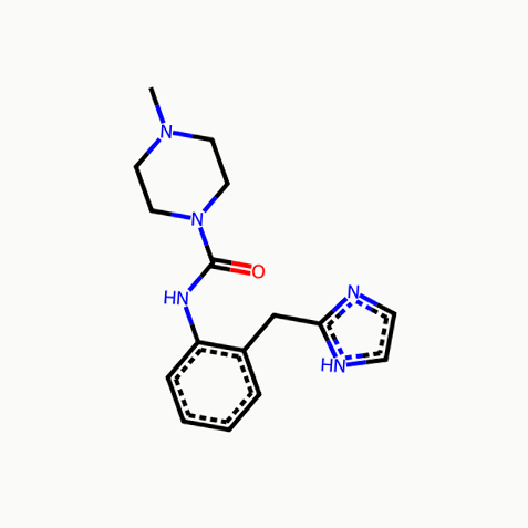 CN1CCN(C(=O)Nc2ccccc2Cc2ncc[nH]2)CC1